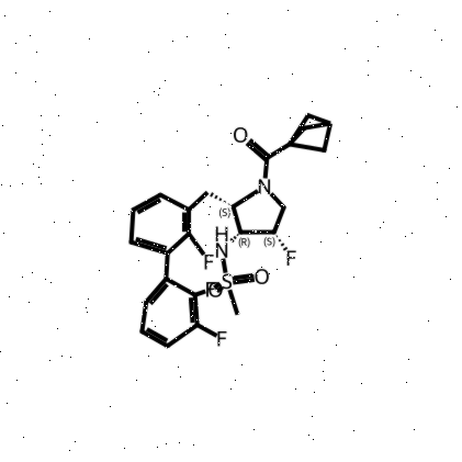 CS(=O)(=O)N[C@H]1[C@@H](F)CN(C(=O)C23CC(C2)C3)[C@H]1Cc1cccc(-c2cccc(F)c2F)c1F